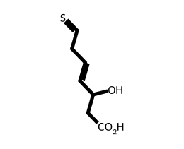 O=C(O)CC(O)C=CCC=S